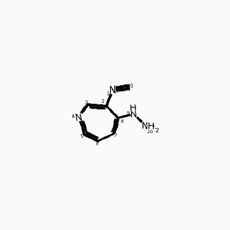 C=NC1=CN=C=CC=C1NN